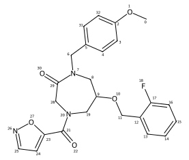 COc1ccc(CN2CC(OCc3ccccc3F)CN(C(=O)c3ccno3)CC2=O)cc1